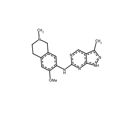 COc1cc2c(cc1Nc1ncc3c(C)n[nH]c3n1)CN(C)CC2